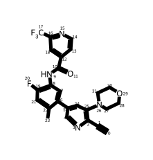 C#Cc1ncc(-c2cc(NC(=O)c3ccnc(C(F)(F)F)c3)c(F)cc2C)cc1N1CCOCC1